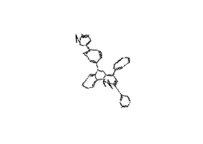 c1ccc(-c2cc(-c3ccccc3)c3cc(-c4ccc(-c5cccnc5)cc4)c4ccccc4c3n2)cc1